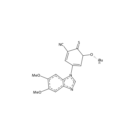 CC[C@@H](C)OC1C=C(n2cnc3cc(OC)c(OC)cc32)C=C(C#N)C1=S